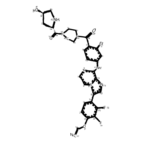 CCc1cc(Nc2nccn3c(-c4ccc(OCC#N)c(F)c4F)cnc23)ccc1C(=O)N1CCN(C(=O)[C@@H]2C[C@@H](O)CN2)CC1